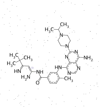 Cc1ccc(C(=O)N/C(N)=C/C(=N)C(C)(C)C)cc1Nc1ncnc2c(N)nc(N3CCN(C(C)C)CC3)nc12